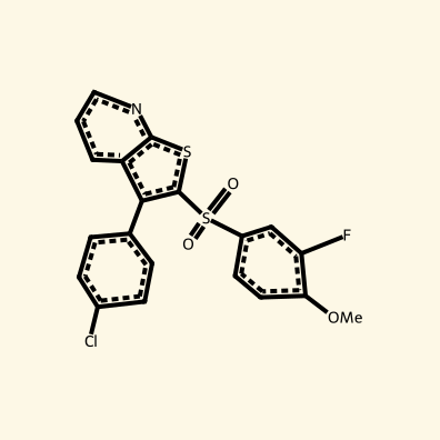 COc1ccc(S(=O)(=O)c2sc3ncccc3c2-c2ccc(Cl)cc2)cc1F